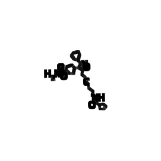 NS(=O)(=O)c1ccc(-c2c(-c3ccccc3)noc2CCCCCCCNC(=O)C2CCCC2)cc1